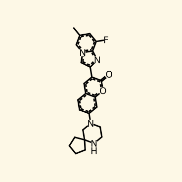 Cc1cc(F)c2nc(-c3cc4ccc(N5CCNC6(CCCC6)C5)cc4oc3=O)cn2c1